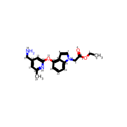 CCOC(=O)Cn1ccc2c(Oc3cc(CN)cc(C)n3)cccc21